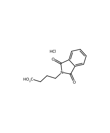 Cl.O=C(O)CCCN1C(=O)c2ccccc2C1=O